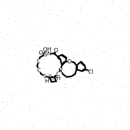 O=C1NS(=O)(=O)CCCCCS[C@@H]2CC[C@H]2CN2CCCCc3cc(Cl)ccc3COc3ccc1cc32